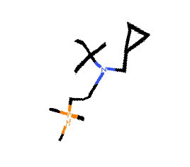 CC(C)(C)N(CC[PH](C)(C)C)CC1CC1